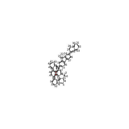 CC1(C)c2ccccc2-c2ccc(N(c3ccc4c(c3)C(C)(C)c3cc(-c5ccc6ccccc6c5)ccc3-4)c3ccccc3-c3ccc(-c4ccccc4)cc3)cc21